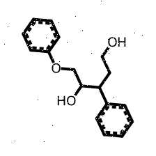 OCCC(c1ccccc1)C(O)COc1ccccc1